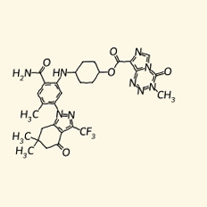 Cc1cc(C(N)=O)c(NC2CCC(OC(=O)c3ncn4c(=O)n(C)nnc34)CC2)cc1-n1nc(C(F)(F)F)c2c1CC(C)(C)CC2=O